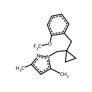 Cc1cc(C)n(CC2(Cc3cc[c]cc3OC(F)(F)F)CC2)n1